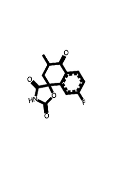 CC1CC2(OC(=O)NC2=O)c2cc(F)ccc2C1=O